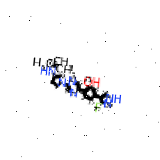 CC(C)(C)NC1CCN(c2cnc(-c3ccc(-c4c[nH]nc4F)cc3O)cn2)C1